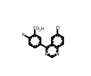 O=C(O)c1cc(-c2ncnc3ccc(Cl)cc23)ccc1F